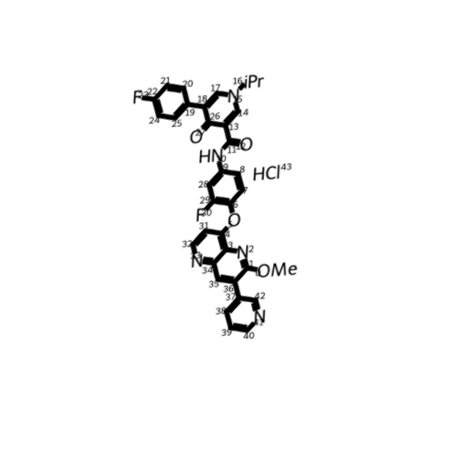 COc1nc2c(Oc3ccc(NC(=O)c4cn(C(C)C)cc(-c5ccc(F)cc5)c4=O)cc3F)ccnc2cc1-c1cccnc1.Cl